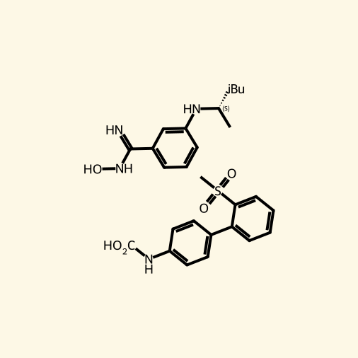 CCC(C)[C@H](C)Nc1cccc(C(=N)NO)c1.CS(=O)(=O)c1ccccc1-c1ccc(NC(=O)O)cc1